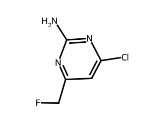 Nc1nc(Cl)cc(CF)n1